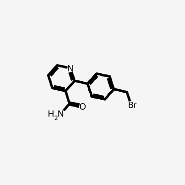 NC(=O)c1cccnc1-c1ccc(CBr)cc1